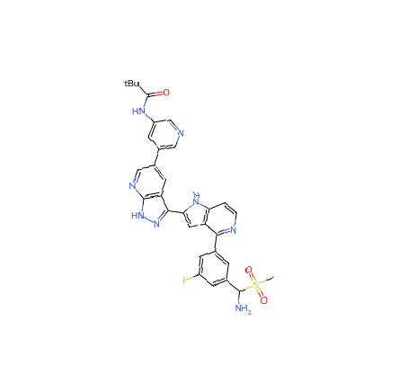 CC(C)(C)C(=O)Nc1cncc(-c2cnc3[nH]nc(-c4cc5c(-c6cc(F)cc(C(N)S(C)(=O)=O)c6)nccc5[nH]4)c3c2)c1